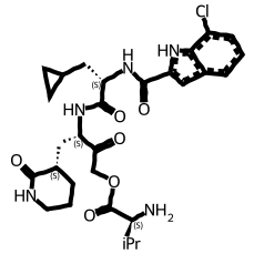 CC(C)[C@H](N)C(=O)OCC(=O)[C@H](C[C@@H]1CCCNC1=O)NC(=O)[C@H](CC1CC1)NC(=O)c1cc2cccc(Cl)c2[nH]1